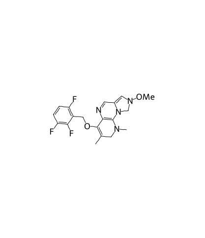 CON1C=C2C=NC3=C(N(C)CC(C)=C3OCc3c(F)ccc(F)c3F)N2C1